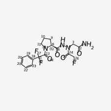 NC(=O)CN(NC(=O)[C@@H]1CCCN1C(=O)C(F)(F)c1ccccc1)C(=O)CF